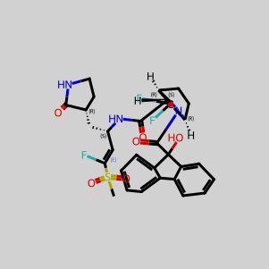 CS(=O)(=O)/C(F)=C/[C@H](C[C@H]1CCNC1=O)NC(=O)[C@@H]1[C@H]2CC[C@H](CC2(F)F)N1C(=O)C1(O)c2ccccc2-c2ccccc21